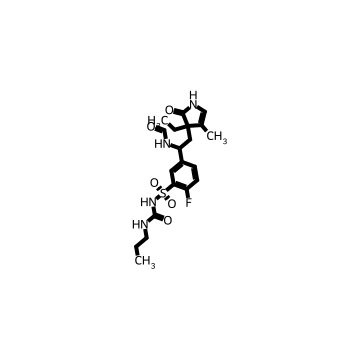 CCCNC(=O)NS(=O)(=O)c1cc(C(CC2(CC)C(=O)NC=C2C)NC=O)ccc1F